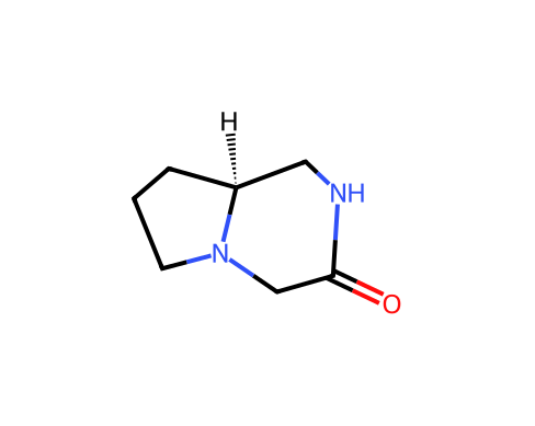 O=C1CN2CCC[C@H]2CN1